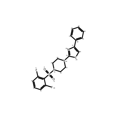 O=S(=O)(c1c(F)cccc1F)N1CCN(c2nc(-c3ccccc3)cs2)CC1